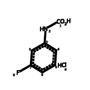 Cl.O=C(O)Nc1cccc(F)c1